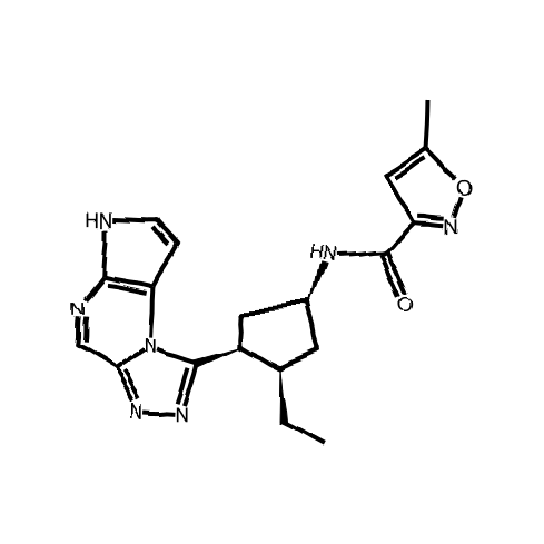 CC[C@@H]1C[C@H](NC(=O)c2cc(C)on2)C[C@@H]1c1nnc2cnc3[nH]ccc3n12